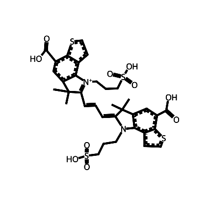 CC1(C)C(/C=C/C=C2/N(CCCS(=O)(=O)O)c3c(cc(C(=O)O)c4sccc34)C2(C)C)=[N+](CCCS(=O)(=O)O)c2c1cc(C(=O)O)c1sccc21